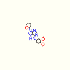 COc1ccc(Nc2ncnc3c2ncn3C2CCCCO2)cc1OC